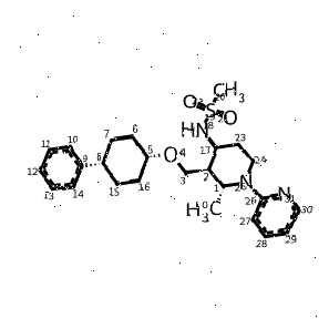 C[C@@H]1[C@@H](CO[C@H]2CC[C@@H](c3ccccc3)CC2)C(NS(C)(=O)=O)CCN1c1ccccn1